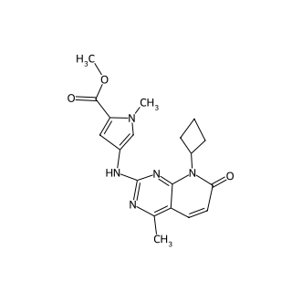 COC(=O)c1cc(Nc2nc(C)c3ccc(=O)n(C4CCC4)c3n2)cn1C